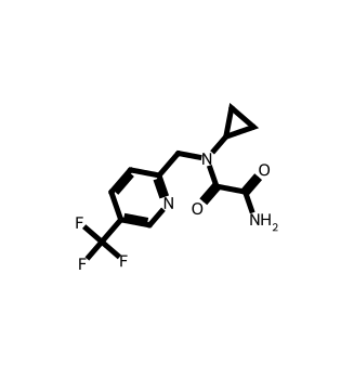 NC(=O)C(=O)N(Cc1ccc(C(F)(F)F)cn1)C1CC1